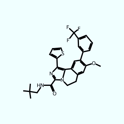 COc1cc2c(cc1-c1cccc(C(F)(F)F)c1)-c1c(-c3cccs3)nc(C(=O)NCC(C)(C)C)n1CC2